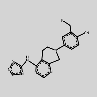 N#Cc1ccc(N2CCc3c(ncnc3Nc3ncns3)C2)cc1CF